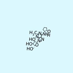 Cc1nc(N[C@H]2CCC[C@@H]2O)c2ncn([C@@H]3O[C@H](CO)[C@@H](O)[C@H]3O)c2n1